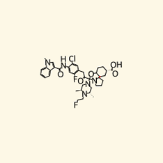 C[C@H]1CN(C(O[C@H]2CC[C@H](C(=O)O)CC2)(C(=O)Cc2cc(Cl)c(NC(=O)c3cn(C)c4ccccc34)cc2F)N2CCCC2)C[C@H](C)N1CCF